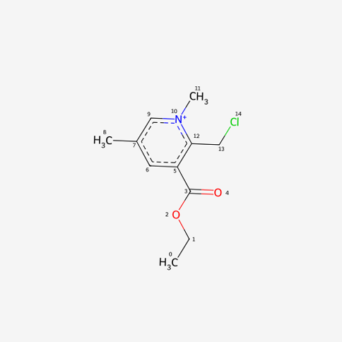 CCOC(=O)c1cc(C)c[n+](C)c1CCl